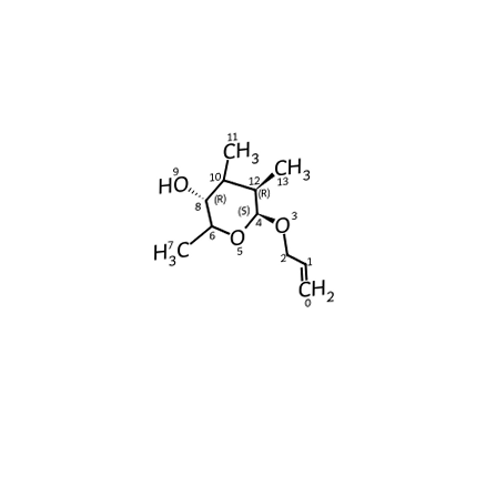 C=CCO[C@H]1OC(C)[C@H](O)C(C)[C@H]1C